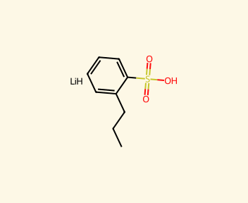 CCCc1ccccc1S(=O)(=O)O.[LiH]